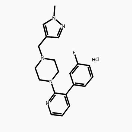 Cl.Cn1cc(CN2CCN(c3ncccc3-c3cccc(F)c3)CC2)cn1